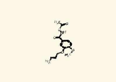 CCCCOc1cc(C(=O)NOC(C)=O)ccc1OC